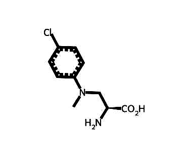 CN(C[C@H](N)C(=O)O)c1ccc(Cl)cc1